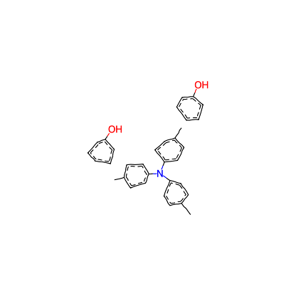 Cc1ccc(N(c2ccc(C)cc2)c2ccc(C)cc2)cc1.Oc1ccccc1.Oc1ccccc1